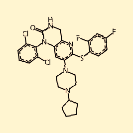 O=C1NCc2nc(Sc3ccc(F)cc3F)c(N3CCN(C4CCCC4)CC3)cc2N1c1c(Cl)cccc1Cl